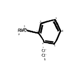 Oc1ccccc1.[Cl-].[Cl-].[Ru+2]